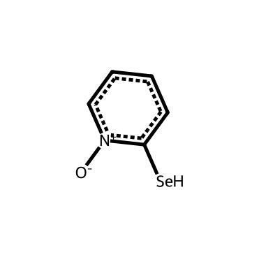 [O-][n+]1ccccc1[SeH]